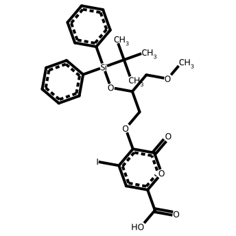 COCC(COc1c(I)cc(C(=O)O)oc1=O)O[Si](c1ccccc1)(c1ccccc1)C(C)(C)C